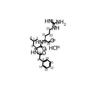 CC(C)C[C@H](NC(=O)Cc1ccccc1)C(=O)N[C@H](C=O)CCCNC(=N)N.Cl